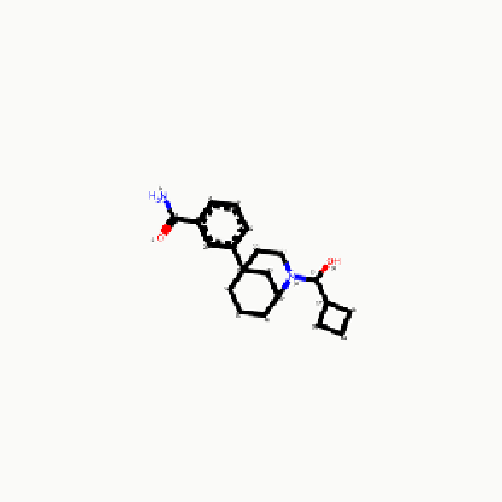 NC(=O)c1cccc(C23CCCC(C2)N(C(O)C2CCC2)CC3)c1